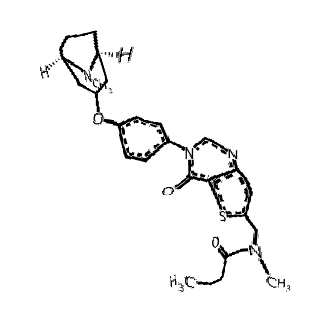 CCC(=O)N(C)Cc1cc2ncn(-c3ccc(OC4C[C@H]5CC[C@@H](C4)N5C)cc3)c(=O)c2s1